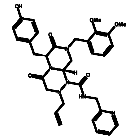 C=CCN1CC(=O)N2[C@@H](Cc3ccc(O)cc3)C(=O)N(Cc3cccc(OC)c3OC)C[C@@H]2N1C(=O)NCc1ccccn1